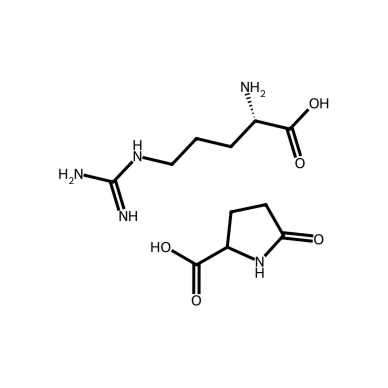 N=C(N)NCCC[C@H](N)C(=O)O.O=C1CCC(C(=O)O)N1